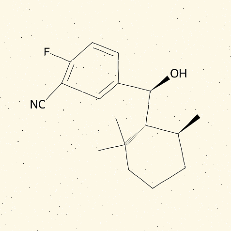 C[C@H]1CCCC(C)(C)[C@@H]1[C@H](O)c1ccc(F)c(C#N)c1